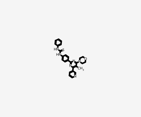 Cc1c(-c2cccnc2)nc(-c2ccc(NC(=S)Nc3ccccc3)cc2)nc1N1CCOCC1